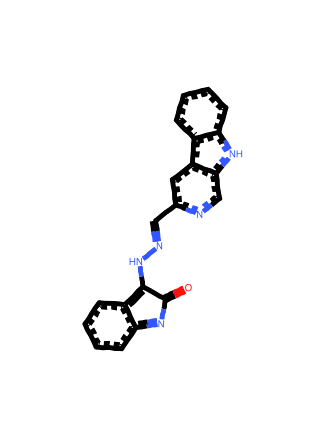 O=C1N=c2ccccc2=C1N/N=C/c1cc2c(cn1)[nH]c1ccccc12